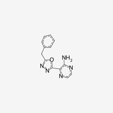 Nc1nccnc1-c1nnc(Cc2ccccc2)o1